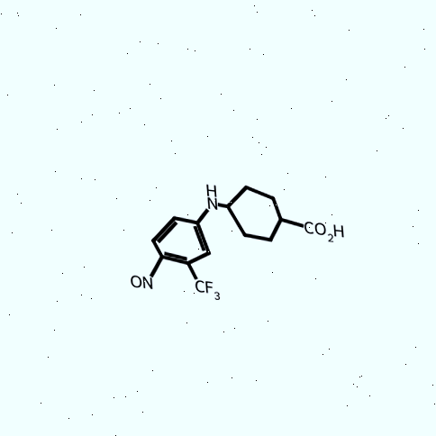 O=Nc1ccc(NC2CCC(C(=O)O)CC2)cc1C(F)(F)F